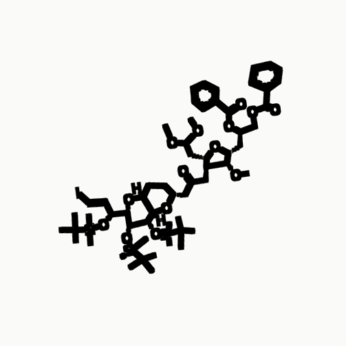 COC(C[C@@H]1O[C@H](C[C@H](COC(=O)c2ccccc2)OC(=O)c2ccccc2)[C@H](OC)[C@H]1CC(=O)C[C@H]1CC[C@@H]2O[C@@H]([C@H](/C=C/I)O[Si](C)(C)C(C)(C)C)[C@@H](O[Si](C)(C)C(C)(C)C)[C@@H](O[Si](C)(C)C(C)(C)C)[C@H]2O1)OC